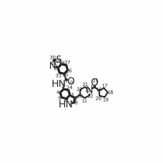 O=C(Nc1ccc2[nH]cc(C3CCN(C(=O)C4CCCC4)CC3)c2c1)c1ccc2scnc2c1